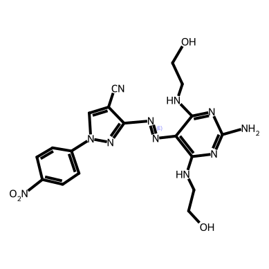 N#Cc1cn(-c2ccc([N+](=O)[O-])cc2)nc1/N=N/c1c(NCCO)nc(N)nc1NCCO